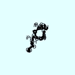 CO[C@@H](C)c1ncccc1-c1c2c3cc(ccc3n1CC(F)(F)F)-c1cccc(c1)C[C@H](NC(=O)C(COC1CN(C(=O)C#CC3(C)OCCO3)C1)C(C)C)C(=O)N1CCC[C@H](N1)C(=O)OCC(C)(C)C2